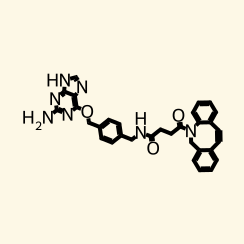 Nc1nc(OCc2ccc(CNC(=O)CCC(=O)N3Cc4ccccc4C#Cc4ccccc43)cc2)c2nc[nH]c2n1